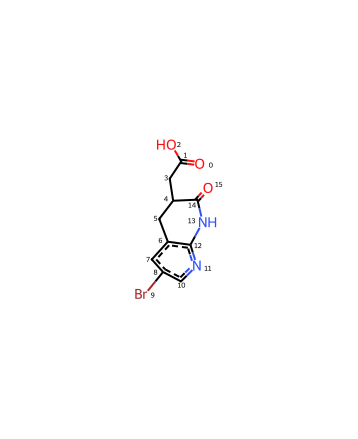 O=C(O)CC1Cc2cc(Br)cnc2NC1=O